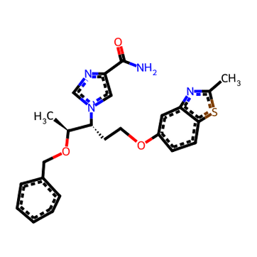 Cc1nc2cc(OCC[C@H]([C@H](C)OCc3ccccc3)n3cnc(C(N)=O)c3)ccc2s1